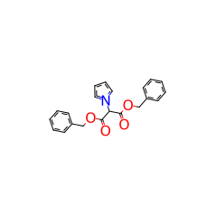 O=C(OCc1ccccc1)C(C(=O)OCc1ccccc1)n1cccc1